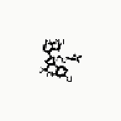 C[Si](C)(C)CCOCn1c(-c2ccnc3[nH]ccc23)cc(C(=O)O)c1-c1ccc(Cl)cc1F